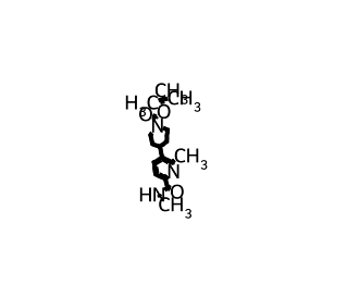 CNC(=O)c1ccc(C2CCN(C(=O)OC(C)(C)C)CC2)c(C)n1